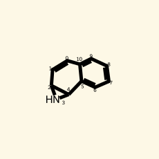 C1=CC2NC2c2ccccc21